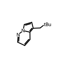 CC(C)(C)Cc1ccn2ncccc12